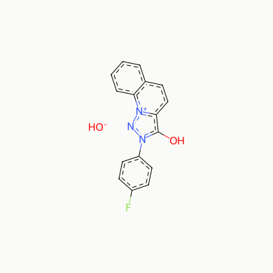 Oc1c2ccc3ccccc3[n+]2nn1-c1ccc(F)cc1.[OH-]